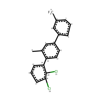 Cc1cc(-c2cccc(C(F)(F)F)c2)[c]cc1-c1cccc(Cl)c1Cl